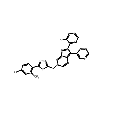 Oc1ccc(-c2nnc(Cn3cnc4c(-c5cncnc5)c(-c5ccccc5F)nc-4c3)s2)c(C(F)(F)F)c1